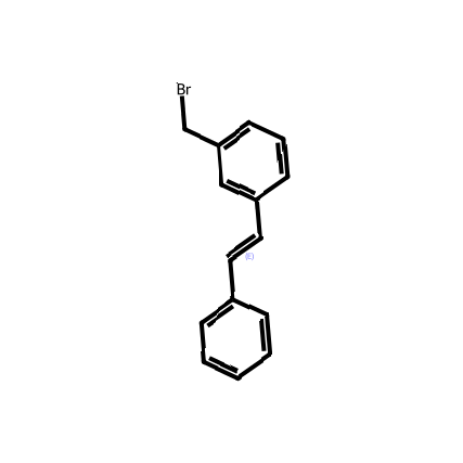 BrCc1cccc(/C=C/c2ccccc2)c1